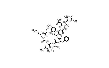 CSC[C@H](N)C(=O)N[C@@H](CCCCN)C(=O)N[C@@H](CC(C)C)C(=O)C[C@H](C(=O)C[C@@H](Cc1ccccc1)C(=O)C[C@@H](Cc1ccccc1)C(=O)N[C@@H](C)C(=O)N[C@@H](CCC(=O)O)C(=O)N[C@@H](CC(=O)O)C(=O)O)C(C)C